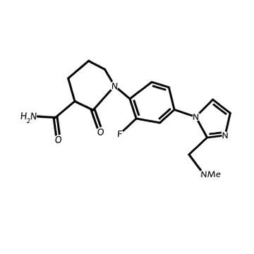 CNCc1nccn1-c1ccc(N2CCCC(C(N)=O)C2=O)c(F)c1